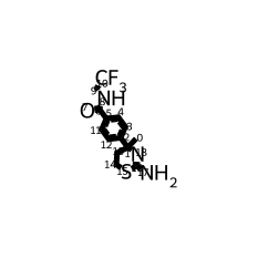 CC1(c2ccc(C(=O)NCC(F)(F)F)cc2)CCSC(N)=N1